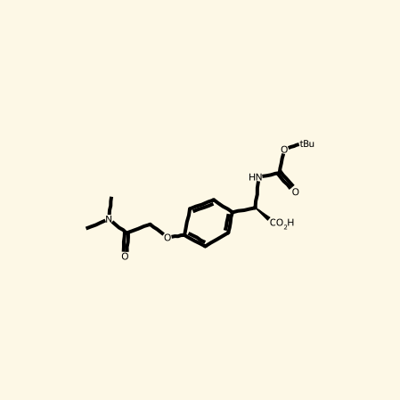 CN(C)C(=O)COc1ccc([C@@H](NC(=O)OC(C)(C)C)C(=O)O)cc1